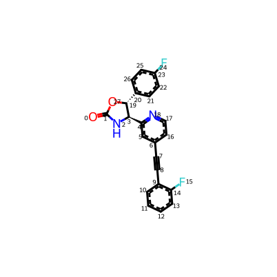 O=C1N[C@H](c2cc(C#Cc3ccccc3F)ccn2)[C@@H](c2ccc(F)cc2)O1